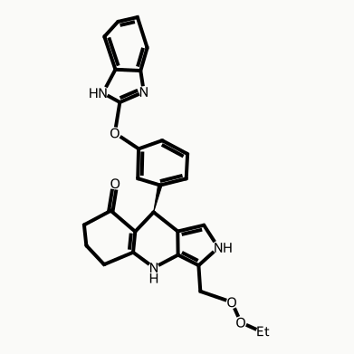 CCOOCc1[nH]cc2c1NC1=C(C(=O)CCC1)[C@H]2c1cccc(Oc2nc3ccccc3[nH]2)c1